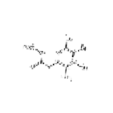 CCCCCCCCOC(=O)Cc1cc(C(C)(C)C)c(O)c(C)c1C